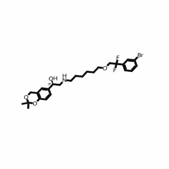 CC1(C)OCc2cc([C@@H](O)CNCCCCCCOCC(F)(F)c3cccc(Br)c3)ccc2O1